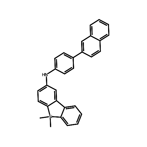 C[Si]1(C)c2ccccc2-c2cc(Nc3ccc(-c4ccc5ccccc5c4)cc3)ccc21